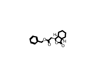 O=C(C[C@@H]1OC(=O)[C@H]2CCCC[C@H]12)OCc1ccccc1